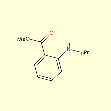 CCCNc1ccccc1C(=O)OC